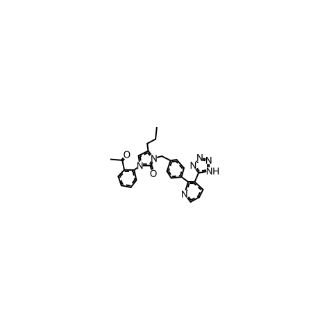 CCCc1cn(-c2ccccc2C(C)=O)c(=O)n1Cc1ccc(-c2ncccc2-c2nnn[nH]2)cc1